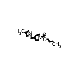 CCCCOC(=O)N1CCC(CN2CC(C)C=N2)CC1